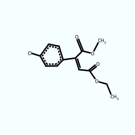 CCOC(=O)/C=C(\C(=O)OC)c1ccc(Cl)cc1